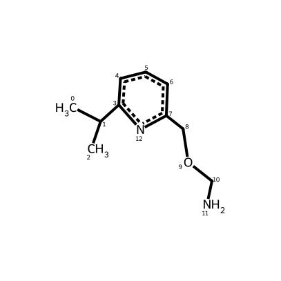 CC(C)c1cccc(COCN)n1